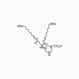 CCCCCCCCCCCCCCCCC=COC(=O)CC[C@H](NN1CCNCCN(CC(=O)O)CC1)C(=O)OC=CCCCCCCCCCCCCCCCC